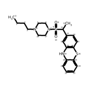 CCCCN1CCN(S(=O)(=O)C(C)c2ccc3c(c2)Nc2ccccc2S3)CC1